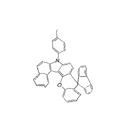 Cc1ccc(-n2c3ccc4c(c3c3c5ccccc5ccc32)Oc2ccccc2C42c3ccccc3-c3ccccc32)cc1